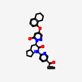 COC(=O)c1ccc(NC(=O)C(CC2CCCC2)n2ncc(Oc3cccc4c3CCCC4)cc2=O)nc1